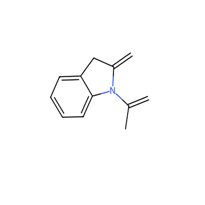 C=C(C)N1C(=C)Cc2ccccc21